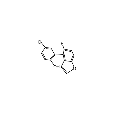 Oc1ccc(Cl)cc1-c1c(F)ccc2occc12